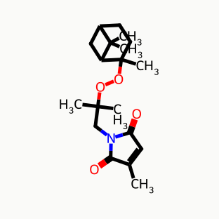 CC1=CC(=O)N(CC(C)(C)OOC2(C)CCC3CC2C3(C)C)C1=O